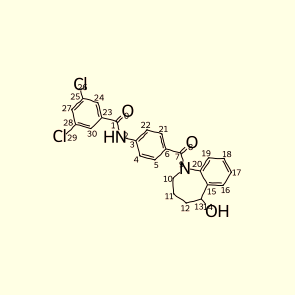 O=C(Nc1ccc(C(=O)N2CCCC(O)c3ccccc32)cc1)c1cc(Cl)cc(Cl)c1